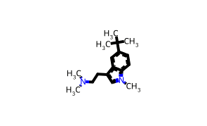 CN(C)CCc1cn(C)c2ccc(C(C)(C)C)cc12